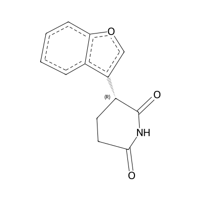 O=C1CC[C@H](c2coc3ccccc23)C(=O)N1